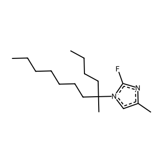 CCCCCCCC(C)(CCCC)n1cc(C)nc1F